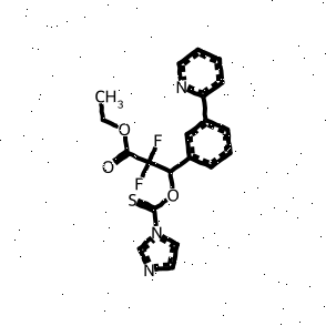 CCOC(=O)C(F)(F)C(OC(=S)n1ccnc1)c1cccc(-c2ccccn2)c1